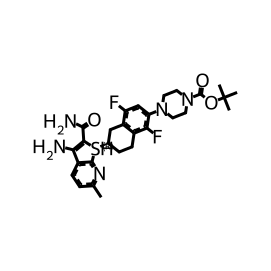 Cc1ccc2c(n1)[SH]([C@@H]1CCc3c(F)c(N4CCN(C(=O)OC(C)(C)C)CC4)cc(F)c3C1)C(C(N)=O)=C2N